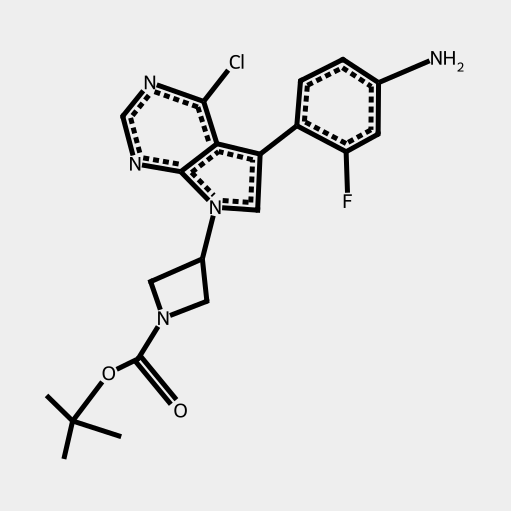 CC(C)(C)OC(=O)N1CC(n2cc(-c3ccc(N)cc3F)c3c(Cl)ncnc32)C1